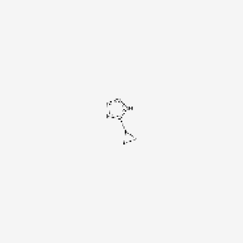 [CH]1CC1c1ncc[nH]1